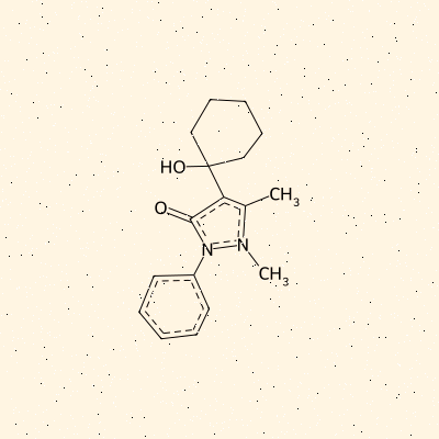 Cc1c(C2(O)CCCCC2)c(=O)n(-c2ccccc2)n1C